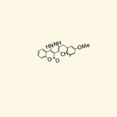 COc1cccc(CC2=C(C)c3c(c4ccccc4oc3=O)NN2)c1